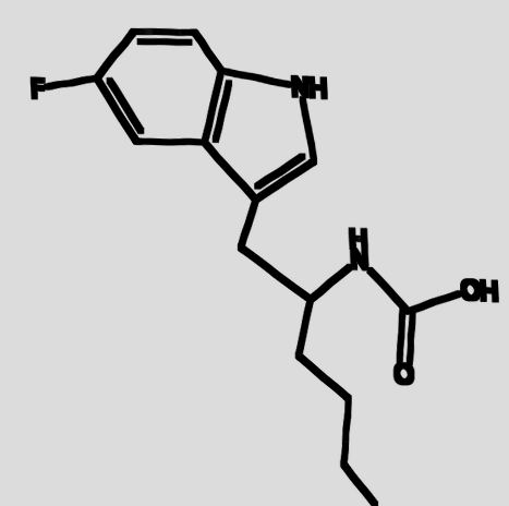 CCCCC(Cc1c[nH]c2ccc(F)cc12)NC(=O)O